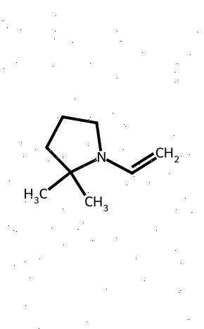 C=CN1CCCC1(C)C